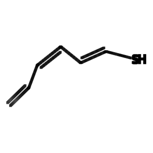 C=C/C=C\C=C\S